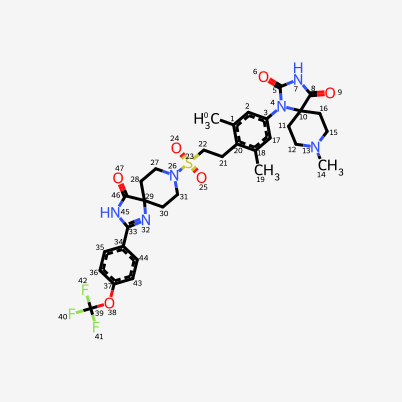 Cc1cc(N2C(=O)NC(=O)C23CCN(C)CC3)cc(C)c1CCS(=O)(=O)N1CCC2(CC1)N=C(c1ccc(OC(F)(F)F)cc1)NC2=O